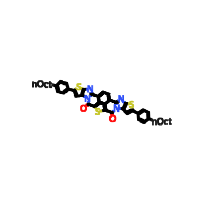 CCCCCCCCc1ccc(-c2cc3c(nc4c5ccc6c7c(sc(c(=O)n34)c57)c(=O)n3c4cc(-c5ccc(CCCCCCCC)cc5)sc4nc63)s2)cc1